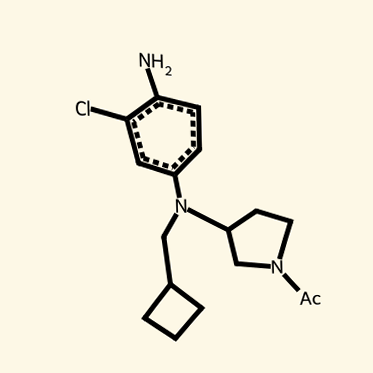 CC(=O)N1CCC(N(CC2CCC2)c2ccc(N)c(Cl)c2)C1